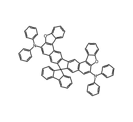 c1ccc(N(c2ccccc2)c2cc3cc4c(cc3c3c2oc2ccccc23)-c2cc3c(cc2C42c4ccccc4-c4ccccc42)cc(N(c2ccccc2)c2ccccc2)c2oc4ccccc4c23)cc1